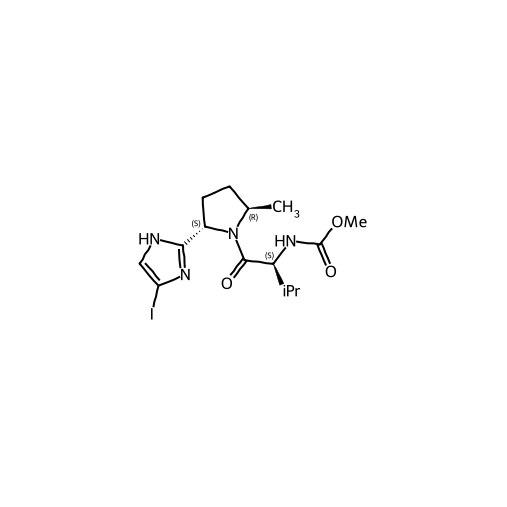 COC(=O)N[C@H](C(=O)N1[C@H](C)CC[C@H]1c1nc(I)c[nH]1)C(C)C